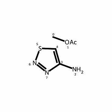 COC(C)=O.Nc1csnn1